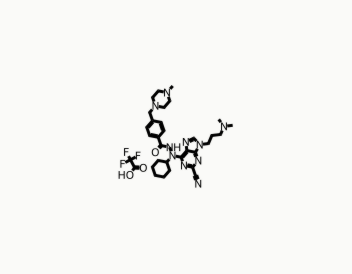 CN(C)CCCn1cnc2c(N(NC(=O)c3ccc(CN4CCN(C)CC4)cc3)C3CCCCC3)nc(C#N)nc21.O=C(O)C(F)(F)F